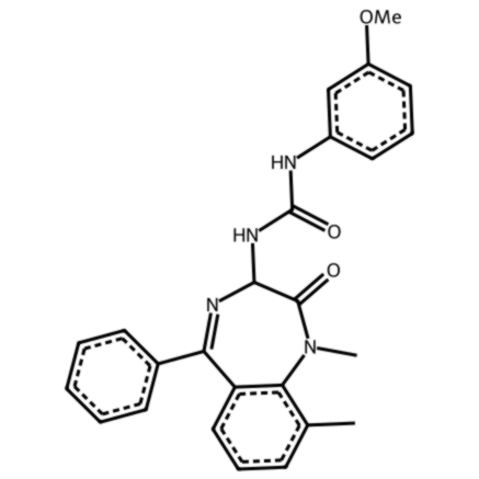 COc1cccc(NC(=O)NC2N=C(c3ccccc3)c3cccc(C)c3N(C)C2=O)c1